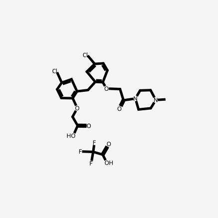 CN1CCN(C(=O)COc2ccc(Cl)cc2Cc2cc(Cl)ccc2OCC(=O)O)CC1.O=C(O)C(F)(F)F